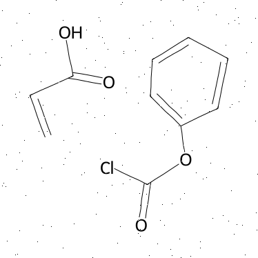 C=CC(=O)O.O=C(Cl)Oc1ccccc1